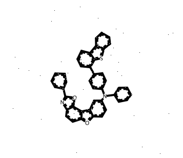 c1ccc(-c2nc3ccc4oc5ccc(N(c6ccccc6)c6ccc(-c7cccc8c7sc7ccccc78)cc6)cc5c4c3o2)cc1